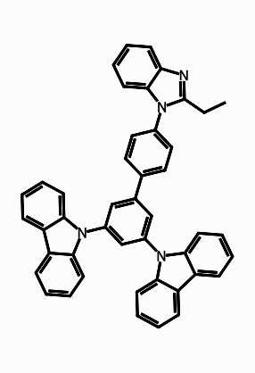 CCc1nc2ccccc2n1-c1ccc(-c2cc(-n3c4ccccc4c4ccccc43)cc(-n3c4ccccc4c4ccccc43)c2)cc1